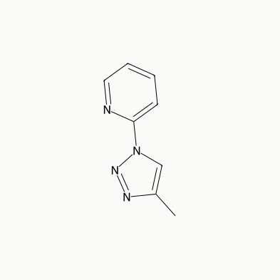 Cc1cn(-c2ccccn2)nn1